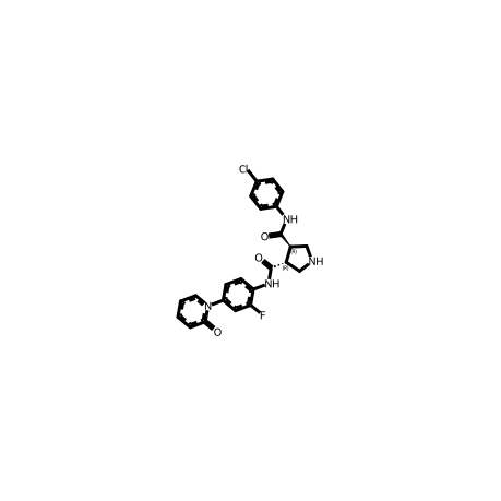 O=C(Nc1ccc(Cl)cc1)[C@H]1CNC[C@@H]1C(=O)Nc1ccc(-n2ccccc2=O)cc1F